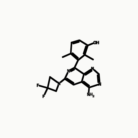 Cc1ccc(O)c(C)c1-c1nc(N2CC(F)(F)C2)cc2c(N)ncnc12